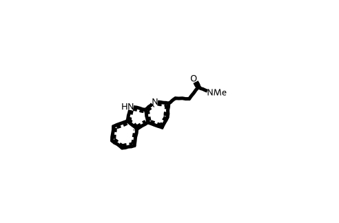 CNC(=O)CCc1ccc2c(n1)[nH]c1ccccc12